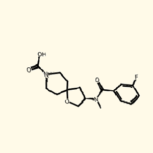 CN(C(=O)c1cccc(F)c1)[C@H]1COC2(CCN(C(=O)O)CC2)C1